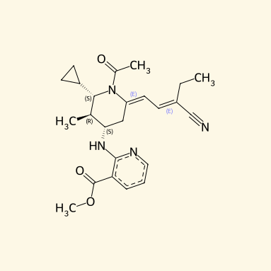 CC/C(C#N)=C\C=C1/C[C@H](Nc2ncccc2C(=O)OC)[C@@H](C)[C@H](C2CC2)N1C(C)=O